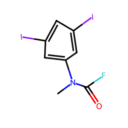 CN(C(=O)F)c1cc(I)cc(I)c1